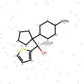 CNC1CCC(C2([C@](O)(C(=O)O)c3cccs3)CCCC2)CC1